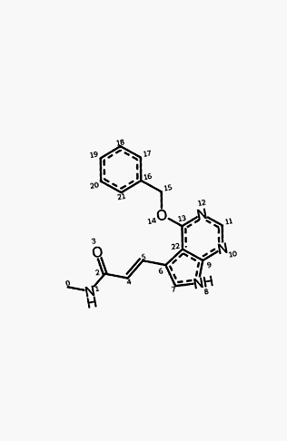 CNC(=O)C=Cc1c[nH]c2ncnc(OCc3ccccc3)c12